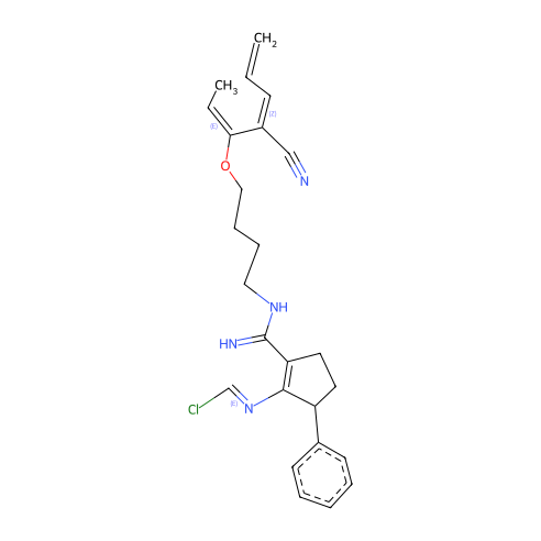 C=C/C=C(C#N)\C(=C/C)OCCCCNC(=N)C1=C(/N=C/Cl)C(c2ccccc2)CC1